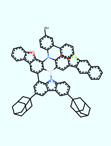 CC(C)(C)c1ccc(N2c3cc4sc5cc6ccccc6cc5c4cc3B3c4c(cc5c(oc6ccccc65)c42)-c2cc(C45CC6CC(CC(C6)C4)C5)cc4c5cc(C67CC8CC(CC(C8)C6)C7)ccc5n3c24)c(-c2ccccc2)c1